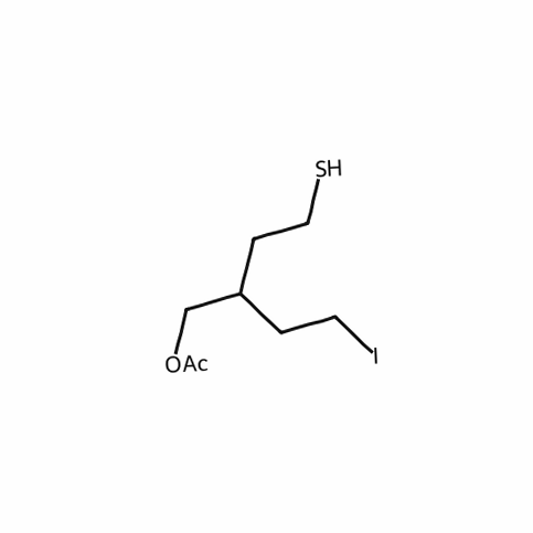 CC(=O)OCC(CCS)CCI